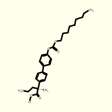 CCCCCCCCCOC(=O)Oc1ccc(-c2ccc([C@](C)(CCC)C(=O)OCl)cc2)cc1